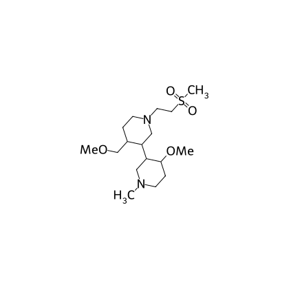 COCC1CCN(CCS(C)(=O)=O)CC1C1CN(C)CCC1OC